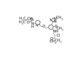 COc1c(NC[C@H](Cl)C(C)OC)cc(COCc2cccc(NC(=O)OC(C)(C)C)n2)cc1-c1ncn(C)n1